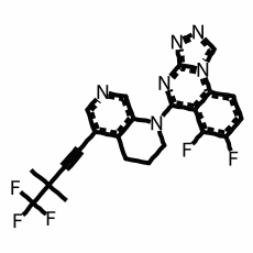 CC(C)(C#Cc1cncc2c1CCCN2c1nc2nncn2c2ccc(F)c(F)c12)C(F)(F)F